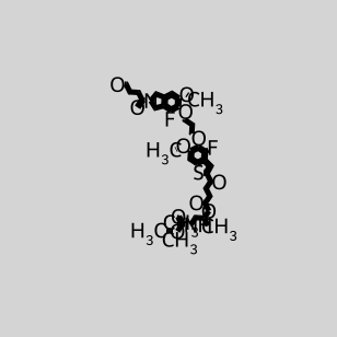 COc1cc2c(c(F)c1OCCCOc1c(OC)cc3sc(C(=O)CCC(=O)OC(C)CNC(=O)OC(C)(C)C)cc3c1F)CN(C(=O)CCC=O)C2